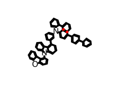 c1ccc(-c2ccc(-c3ccc(N(c4cccc(-c5cccc6c5c5ccccc5n6-c5cccc6oc7ccccc7c56)c4)c4ccccc4-c4ccccc4)cc3)cc2)cc1